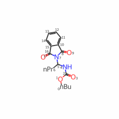 CCCCOC(=O)NC(CCC)N1C(=O)c2ccccc2C1=O